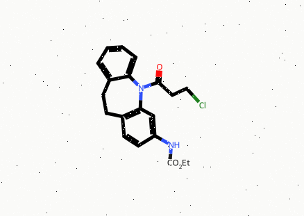 CCOC(=O)Nc1ccc2c(c1)N(C(=O)CCCl)c1ccccc1CC2